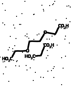 O=C(O)CC(=O)O.O=C(O)COCCOCC(=O)O